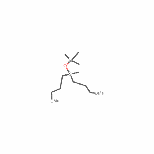 COCCC[Si](C)(CCCOC)O[Si](C)(C)C